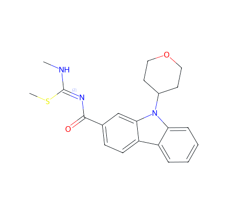 CN/C(=N/C(=O)c1ccc2c3ccccc3n(C3CCOCC3)c2c1)SC